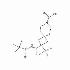 C[C@H](N[S@+]([O-])C(C)(C)C)C1(C(C)(C)C)CC2(CCN(C(=O)O)CC2)C1